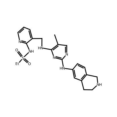 CCS(=O)(=O)Nc1ncccc1CNc1nc(Nc2ccc3c(c2)CCNC3)ncc1C